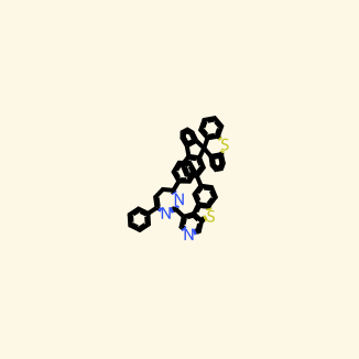 C1=C(c2ccccc2)N=C(c2cncc3sc4ccc(-c5ccc6c(c5)C5(c7ccccc7Sc7ccccc75)c5ccccc5-6)cc4c23)N=C(c2ccccc2)C1